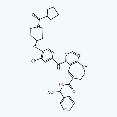 N#CC(NC(=O)C1=Cc2c(ncnc2Nc2ccc(OC3CCN(C(=O)C4CCCC4)CC3)c(Cl)c2)NCC1)c1ccccc1